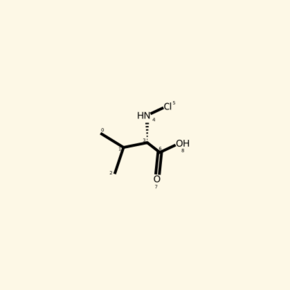 CC(C)[C@H](NCl)C(=O)O